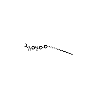 CCCCCCCCCCCCCCCCCCCc1ccc(-c2ccc(C(=O)Oc3ccc(C(=O)OCC(C)CC)cc3)cc2)cc1